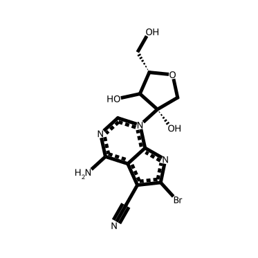 N#Cc1c(Br)nc2n([C@]3(O)CO[C@@H](CO)C3O)cnc(N)c1-2